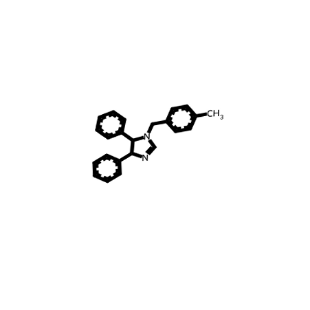 Cc1ccc(CN2C=NC(c3ccccc3)C2c2ccccc2)cc1